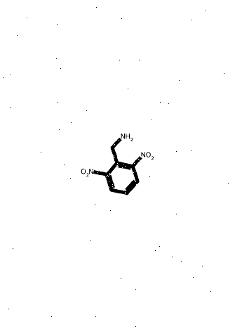 NCc1c([N+](=O)[O-])c[c]cc1[N+](=O)[O-]